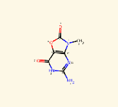 Cn1c(=O)oc2c(=O)[nH]c(N)nc21